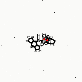 CCN1CC2CCC(C1)N2S(=O)(=O)NC(=O)Nc1c2c(cc3c1CCC3)CCC2